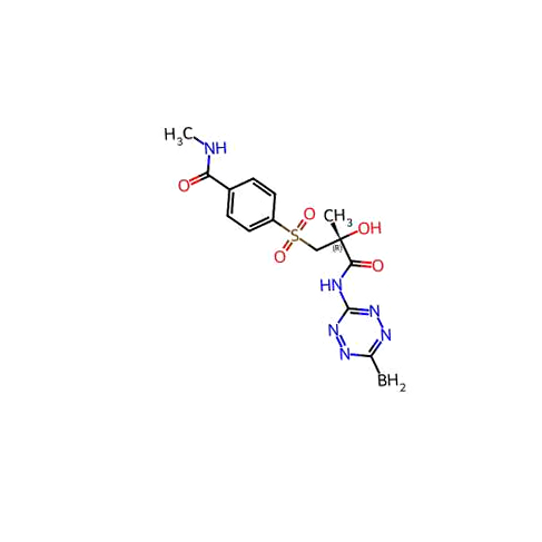 Bc1nnc(NC(=O)[C@@](C)(O)CS(=O)(=O)c2ccc(C(=O)NC)cc2)nn1